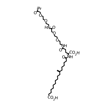 C=C(CCCCCCCCCCC(=O)O)CCCCCC(=O)N[C@@H](CCC(=O)NCCOCCOCC(=O)NCCOCCOCC(=O)C(C)C)C(=O)O